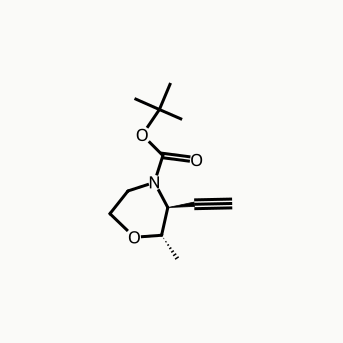 C#C[C@H]1[C@H](C)OCCN1C(=O)OC(C)(C)C